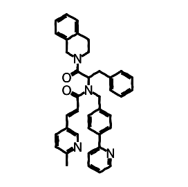 Cc1ccc(C=CC(=O)N(Cc2ccc(-c3ccccn3)cc2)C(Cc2ccccc2)C(=O)N2CCc3ccccc3C2)cn1